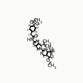 CCOC(=O)c1cnc(N2Cc3sc(NC(=O)Cc4ccc(S(C)(=O)=O)cc4)nc3[C@@H]2C(C)C)nc1C(F)(F)F